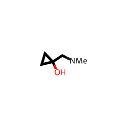 CNCC1(O)CC1